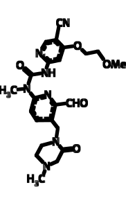 COCCOc1cc(NC(=O)N(C)c2ccc(CN3CCN(C)CC3=O)c(C=O)n2)ncc1C#N